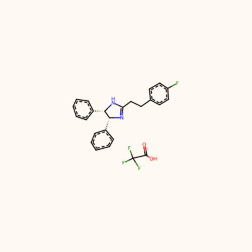 Fc1ccc(CCC2=N[C@H](c3ccccc3)[C@H](c3ccccc3)N2)cc1.O=C(O)C(F)(F)F